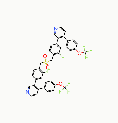 O=S(=O)(Cc1ccc(-c2cnccc2-c2ccc(OC(F)(F)F)cc2)cc1F)Cc1ccc(-c2cnccc2-c2ccc(OC(F)(F)F)cc2)cc1F